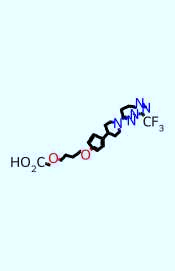 O=C(O)COCCCCOc1ccc(C2CCN(C3=Nn4c(nnc4C(F)(F)F)CC3)CC2)cc1